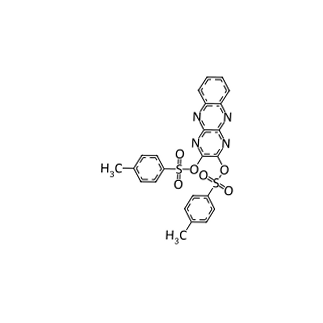 Cc1ccc(S(=O)(=O)Oc2nc3nc4ccccc4nc3nc2OS(=O)(=O)c2ccc(C)cc2)cc1